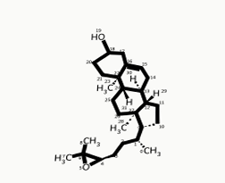 C[C@H](CC[C@H]1OC1(C)C)[C@H]1CC[C@H]2[C@@H]3CC=C4CC(O)CC[C@]4(C)[C@H]3CC[C@]12C